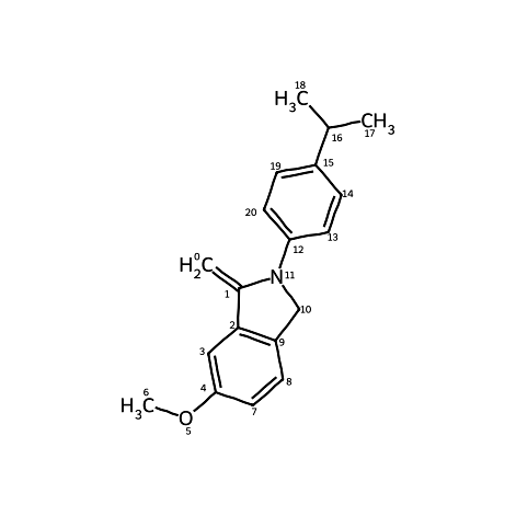 C=C1c2cc(OC)ccc2CN1c1ccc(C(C)C)cc1